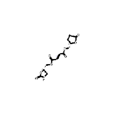 O=C(/C=C/C(=O)OC[C@@H]1CNC(=O)O1)OC[C@@H]1CCC(=O)O1